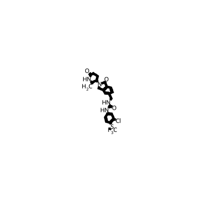 C=C1NC(=O)CCC1N1Cc2cc(CNC(=O)Nc3ccc(SC(F)(F)F)c(Cl)c3)ccc2C1=O